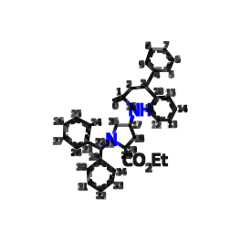 C=C(CC(c1ccccc1)c1ccccc1)N[C@H]1C[C@@H](C(=O)OCC)N(C(c2ccccc2)c2ccccc2)C1